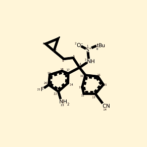 CC(C)(C)[S+]([O-])NC(CCC1CC1)(c1ccc(C#N)cc1)c1ccc(F)c(N)c1